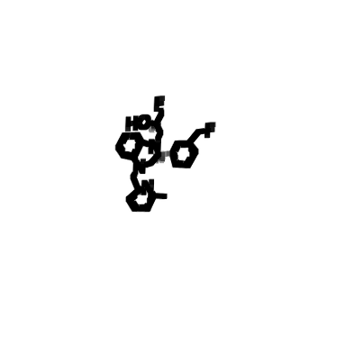 Cc1cccc(CN2C[C@@H](c3cccc(CF)c3)N(C[C@@H](O)CF)c3ccccc32)n1